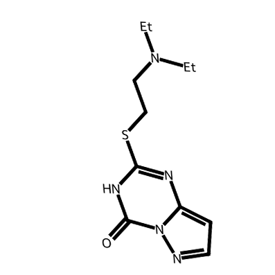 CCN(CC)CCSc1nc2ccnn2c(=O)[nH]1